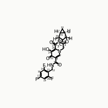 C[C@H]1[C@H]2OC3Cn4cc(C(=O)NCc5c(F)cc(F)cc5F)c(=O)c(O)c4C(=O)N3[C@@H]1[C@H]1C[C@H]12